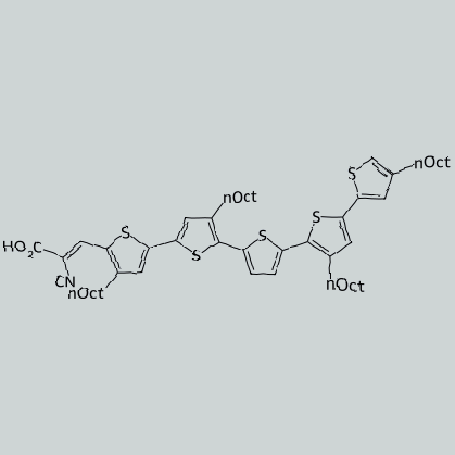 CCCCCCCCc1csc(-c2cc(CCCCCCCC)c(-c3ccc(-c4sc(-c5cc(CCCCCCCC)c(/C=C(\C#N)C(=O)O)s5)cc4CCCCCCCC)s3)s2)c1